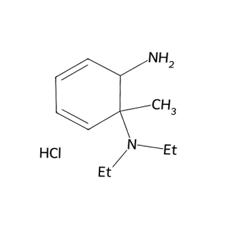 CCN(CC)C1(C)C=CC=CC1N.Cl